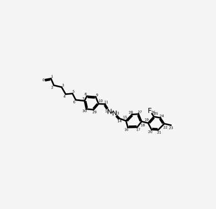 C=CCCCCCc1ccc(C=NN=Cc2ccc(-c3ccc(C)cc3F)cc2)cc1